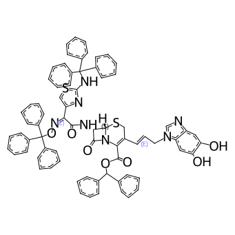 O=C(OC(c1ccccc1)c1ccccc1)C1=C(/C=C/Cn2cnc3cc(O)c(O)cc32)CS[C@H]2C(NC(=O)/C(=N\OC(c3ccccc3)(c3ccccc3)c3ccccc3)c3csc(NC(c4ccccc4)(c4ccccc4)c4ccccc4)n3)C(=O)N12